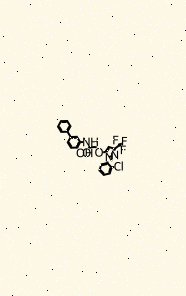 O=C(COc1cc(C(F)(F)F)nn1-c1ccccc1Cl)Nc1cc(-c2ccccc2)ccc1O